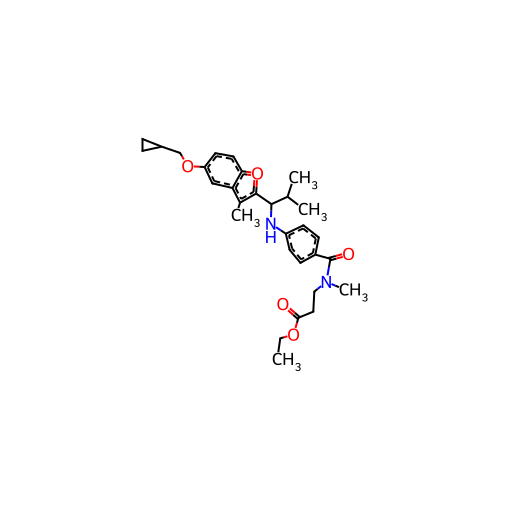 CCOC(=O)CCN(C)C(=O)c1ccc(NC(c2oc3ccc(OCC4CC4)cc3c2C)C(C)C)cc1